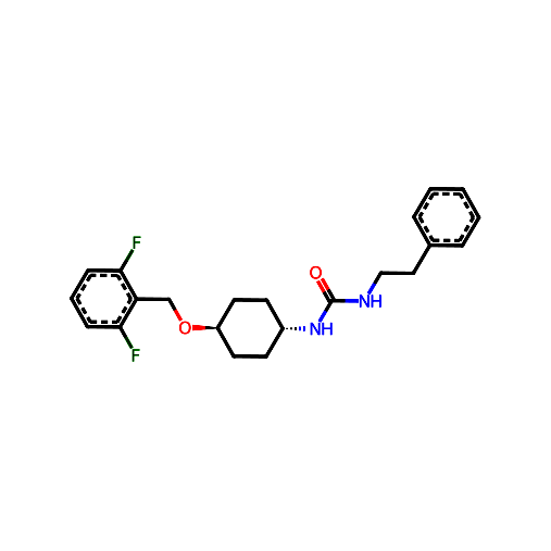 O=C(NCCc1ccccc1)N[C@H]1CC[C@H](OCc2c(F)cccc2F)CC1